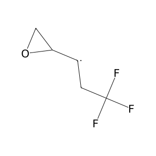 FC(F)(F)C[CH]C1CO1